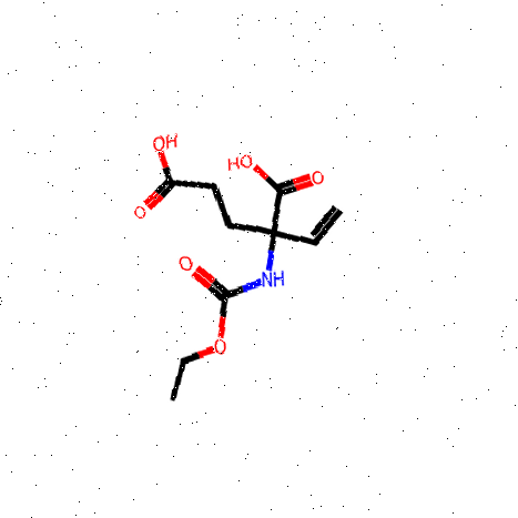 C=CC(CCC(=O)O)(NC(=O)OCC)C(=O)O